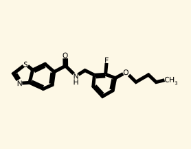 CCCCOc1cccc(CNC(=O)c2ccc3ncsc3c2)c1F